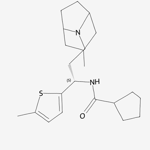 Cc1ccc([C@H](CCN2C3CCC2CC(C)C3)NC(=O)C2CCCC2)s1